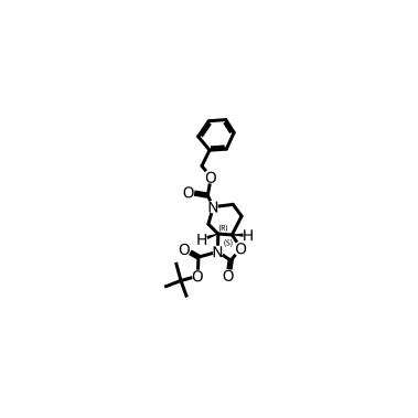 CC(C)(C)OC(=O)N1C(=O)O[C@H]2CCN(C(=O)OCc3ccccc3)C[C@H]21